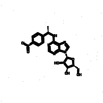 C[C@H](Nc1ncnc2c1ncn2[C@@H]1O[C@H](CO)[C@H](O)C1O)c1ccc([N+](=O)[O-])cc1